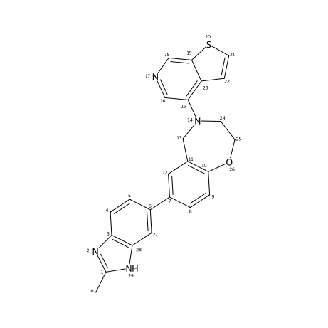 Cc1nc2ccc(-c3ccc4c(c3)CN(c3cncc5sccc35)CCO4)cc2[nH]1